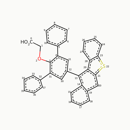 O=C(O)COc1c(-c2ccccc2)cc(-c2c3ccccc3cc3sc4ccccc4c23)cc1-c1ccccc1